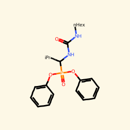 CCCCCCNC(=O)NC(C(C)C)P(=O)(Oc1ccccc1)Oc1ccccc1